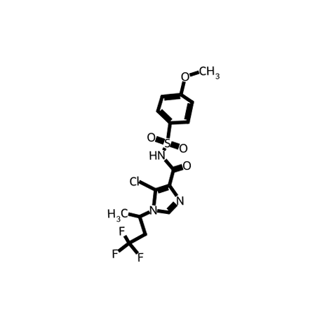 COc1ccc(S(=O)(=O)NC(=O)c2ncn(C(C)CC(F)(F)F)c2Cl)cc1